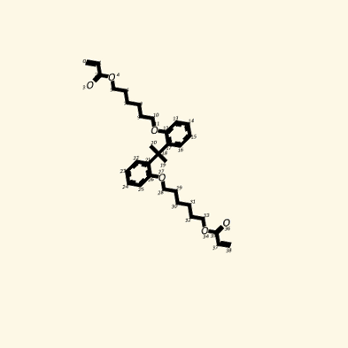 C=CC(=O)OCCCCCCOc1ccccc1C(C)(C)c1ccccc1OCCCCCCOC(=O)C=C